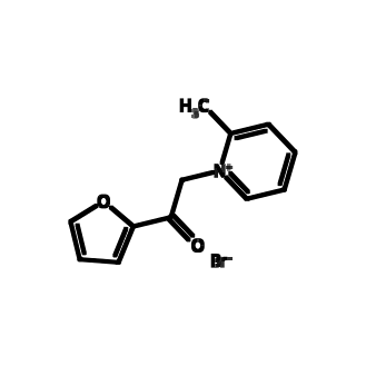 Cc1cccc[n+]1CC(=O)c1ccco1.[Br-]